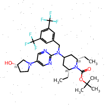 CC[C@@H]1CC(N(Cc2cc(C(F)(F)F)cc(C(F)(F)F)c2)c2ncc(N3CC[C@H](O)C3)cn2)C[C@H](CC)N1C(=O)OC(C)(C)C